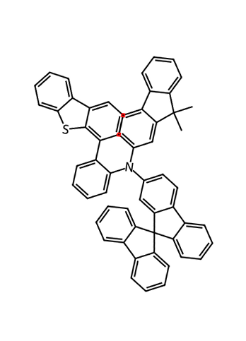 CC1(C)c2ccccc2-c2ccc(N(c3ccc4c(c3)C3(c5ccccc5-c5ccccc53)c3ccccc3-4)c3ccccc3-c3cccc4c3sc3ccccc34)cc21